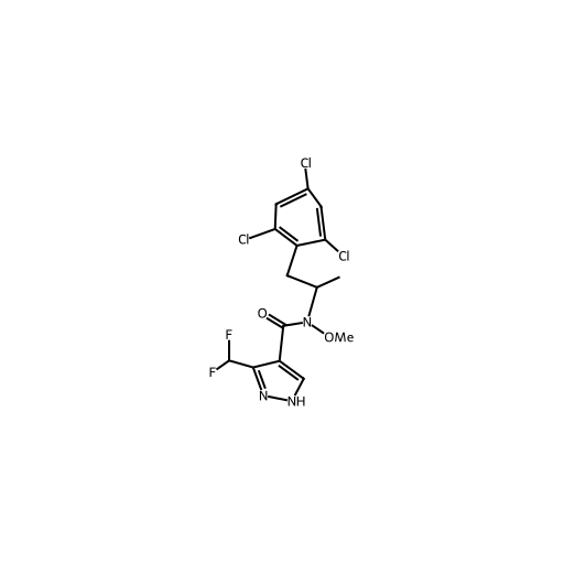 CON(C(=O)c1c[nH]nc1C(F)F)C(C)Cc1c(Cl)cc(Cl)cc1Cl